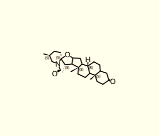 C[C@H]1CC[C@@]2(OC3CC4[C@@H]5CCC6CC(=O)CC[C@]6(C)C5CC[C@]4(C)C3[C@@H]2C)N(C=O)C1